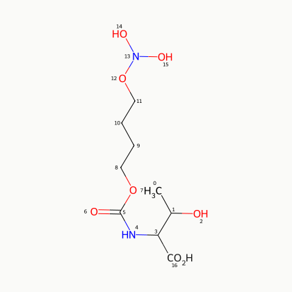 CC(O)C(NC(=O)OCCCCON(O)O)C(=O)O